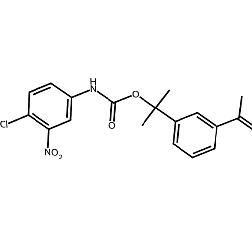 C=C(C)c1cccc(C(C)(C)OC(=O)Nc2ccc(Cl)c([N+](=O)[O-])c2)c1